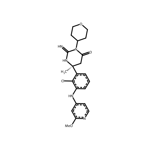 COc1cc(Nc2cccc([C@]3(C)CC(=O)N(C4CCOCC4)C(=N)N3)c2Cl)ccn1